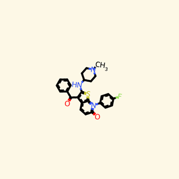 CN1CCC(Nc2sc3c(ccc(=O)n3-c3ccc(F)cc3)c2C(=O)c2ccccc2)CC1